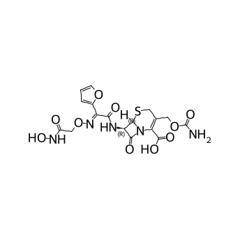 NC(=O)OCC1=C(C(=O)O)N2C(=O)[C@@H](NC(=O)C(=NOCC(=O)NO)c3ccco3)[C@H]2SC1